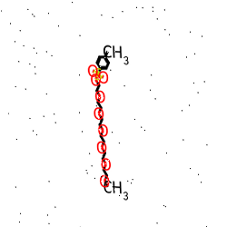 COCCOCCOCCOCCOCCOCCOS(=O)(=O)c1ccc(C)cc1